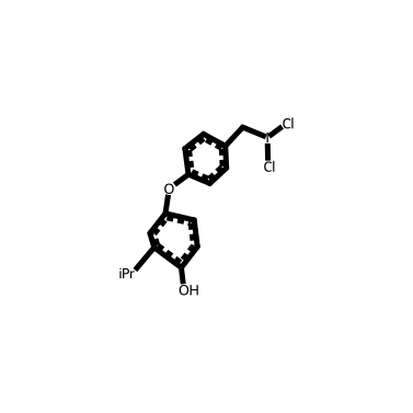 CC(C)c1cc(Oc2ccc(CI(Cl)Cl)cc2)ccc1O